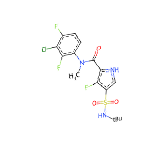 CN(C(=O)c1[nH]cc(S(=O)(=O)NC(C)(C)C)c1F)c1ccc(F)c(Cl)c1F